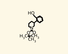 CC(C)(C)OC(=O)N1CCCC(c2ccccc2CO)C1